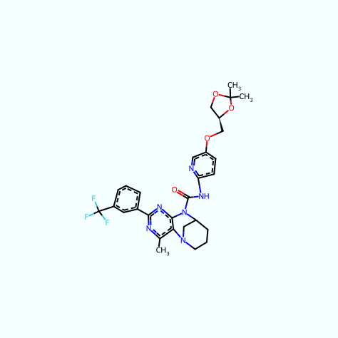 Cc1nc(-c2cccc(C(F)(F)F)c2)nc2c1N1CCCC(C1)N2C(=O)Nc1ccc(OC[C@H]2COC(C)(C)O2)cn1